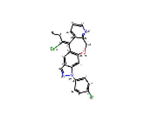 CCC(Br)=C1c2cc3cnn(-c4ccc(F)cc4)c3cc2OCc2ncccc21